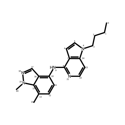 CCCCn1ccc2c(Nc3ccc(C)c4c3cnn4C)nccc21